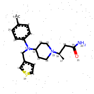 CC(=O)c1ccc(N(Cc2ccsc2)C2CCN([C@H](C)CC(N)=O)CC2)cc1